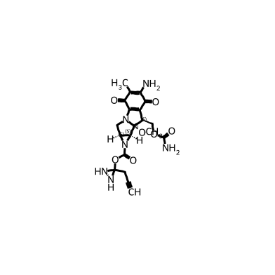 C#CCC1(OC(=O)N2[C@H]3[C@@H]2CN2C4=C(C(=O)C(N)=C(C)C4=O)[C@@H](COC(N)=O)[C@@]32OC)NN1